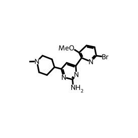 COc1ccc(Br)nc1-c1cc(C2CCN(C)CC2)nc(N)n1